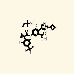 CCC(C)(C)N.O=C(O)c1cc(NC(=O)C2(c3ccc(C(F)(F)F)cc3F)CC2)ccc1-c1cnn(C2CCC2)c1